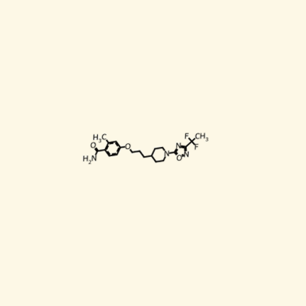 Cc1cc(OCCCC2CCN(c3nc(C(C)(F)F)no3)CC2)ccc1C(N)=O